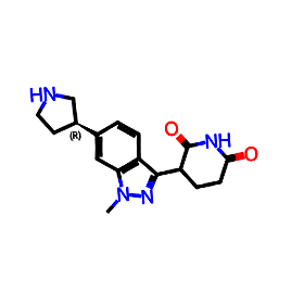 Cn1nc(C2CCC(=O)NC2=O)c2ccc([C@H]3CCNC3)cc21